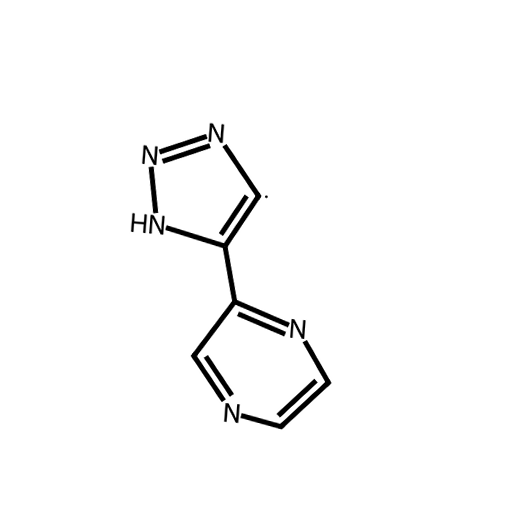 [c]1nn[nH]c1-c1cnccn1